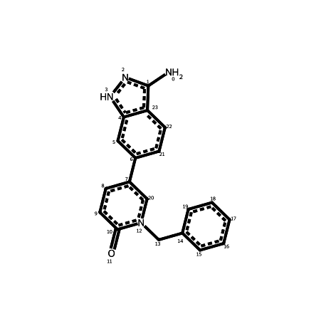 Nc1n[nH]c2cc(-c3ccc(=O)n(Cc4ccccc4)c3)ccc12